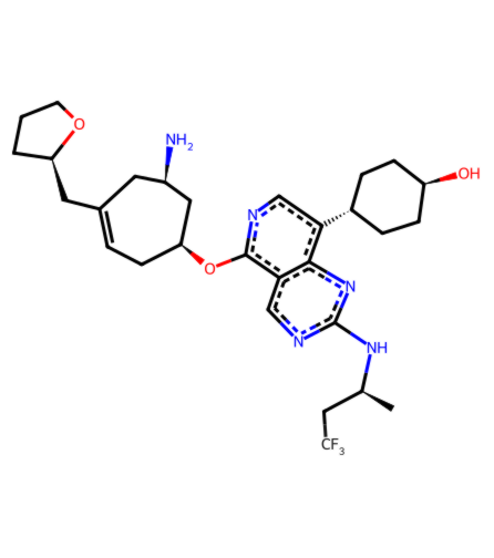 C[C@@H](CC(F)(F)F)Nc1ncc2c(O[C@H]3CC=C(C[C@H]4CCCO4)C[C@@H](N)C3)ncc([C@H]3CC[C@H](O)CC3)c2n1